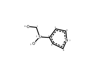 [O]C[S+]([O-])c1ccncc1